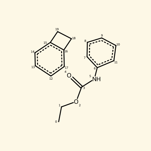 CCOC(=O)Nc1ccccc1.c1ccc2c(c1)CC2